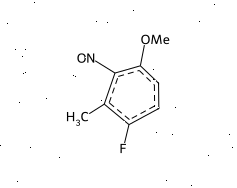 COc1ccc(F)c(C)c1N=O